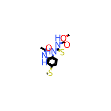 COC(=O)NC(=S)Nc1ccc(SC)cc1NC(C)=O